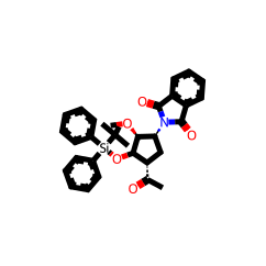 CO[C@@H]1C(O[Si](c2ccccc2)(c2ccccc2)C(C)(C)C)[C@@H](C(C)=O)C[C@H]1N1C(=O)c2ccccc2C1=O